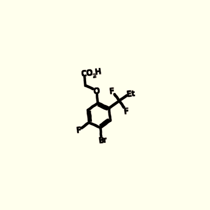 CCC(F)(F)c1cc(Br)c(F)cc1OCC(=O)O